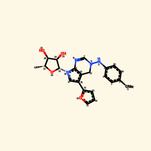 COc1ccc(NN2C=Nc3c(c(-c4ccco4)cn3[C@@H]3O[C@H](C)[C@@H](O)[C@H]3O)C2)cc1